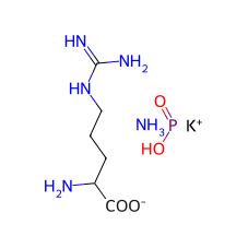 N.N=C(N)NCCCC(N)C(=O)[O-].O=PO.[K+]